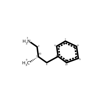 C[C@H](CN)Cc1ccccc1